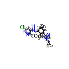 COc1c(CNc2cc(Cl)nnc2C(=O)O)cccc1-c1ncn(C2CC2)n1.[Zn]